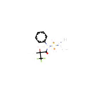 CN(C)S(=O)(=O)N(C(=O)C(C)(O)C(F)(F)F)c1ccccc1